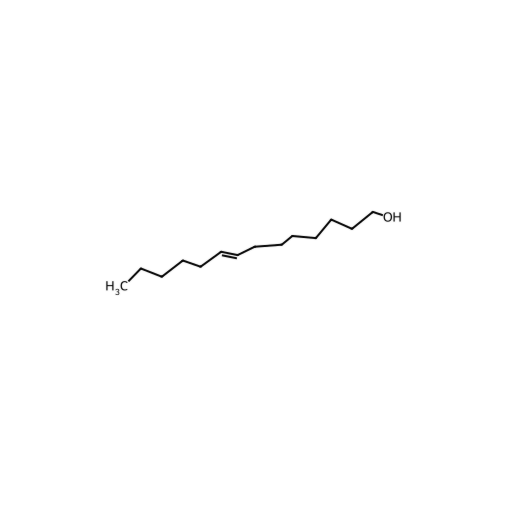 CCCCC/C=C/CCCCCCCO